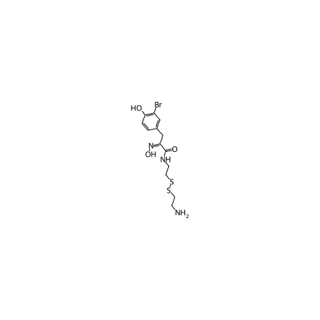 NCCSSCCNC(=O)C(Cc1ccc(O)c(Br)c1)=NO